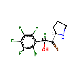 O[C@@](F)(C(=S)[C@@H]1CCCN1)c1c(F)c(F)c(F)c(F)c1F